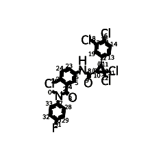 CN(C(=O)c1cc(NC(=O)[C@H]2[C@H](c3ccc(Cl)c(Cl)c3)C2(Cl)Cl)ccc1Cl)c1ccc(F)cc1